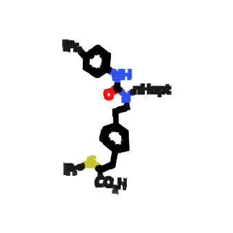 CCCCCCCN(CCc1ccc(C[C@H](SC(C)C)C(=O)O)cc1)C(=O)Nc1ccc(C(C)C)cc1